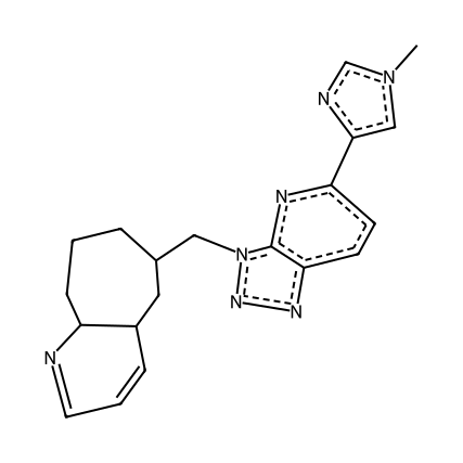 Cn1cnc(-c2ccc3nnn(CC4CCCC5N=CC=CC5C4)c3n2)c1